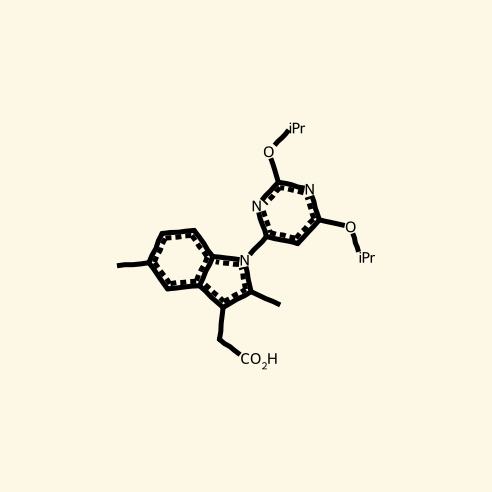 Cc1ccc2c(c1)c(CC(=O)O)c(C)n2-c1cc(OC(C)C)nc(OC(C)C)n1